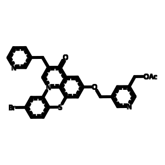 CC(=O)OCc1cncc(COc2cc3c4c(c2)c(=O)c(Cc2cccnc2)cn4-c2cc(Br)ccc2S3)c1